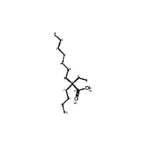 CCCCCCCC(CC)(CCCC)C(=O)O